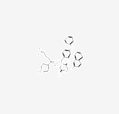 CN(C)CCCC(NC[C@H]1C(=O)N[C@@H](Cc2ccc3ccccc3c2)C(=O)N1Cc1ccc(Oc2ccccc2)cc1)C1CCNCC1